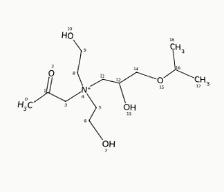 CC(=O)C[N+](CCO)(CCO)CC(O)COC(C)C